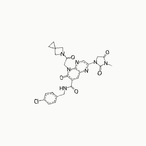 CN1C(=O)CN(c2cnc3c(cc(C(=O)NCc4ccc(Cl)cc4)c(=O)n3CC(=O)N3CC4(CC4)C3)n2)C1=O